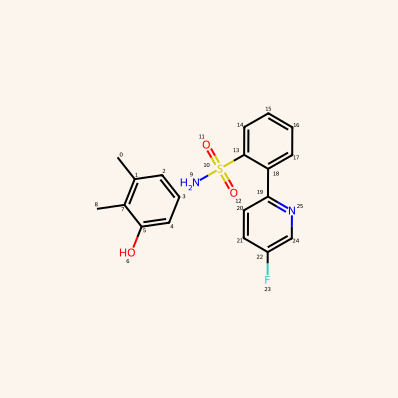 Cc1cccc(O)c1C.NS(=O)(=O)c1ccccc1-c1ccc(F)cn1